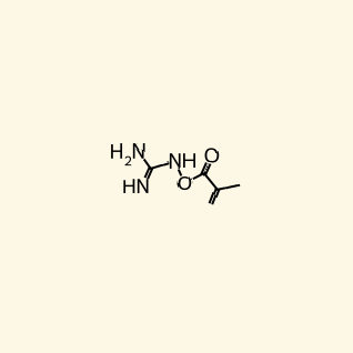 C=C(C)C(=O)ONC(=N)N